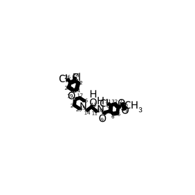 CS(=O)(=O)c1ccc(C(=O)NC[C@@H](O)CN2CCC(Oc3ccc(Cl)c(Cl)c3)CC2)c(Cl)c1